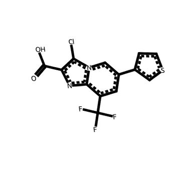 O=C(O)c1nc2c(C(F)(F)F)cc(-c3ccsc3)cn2c1Cl